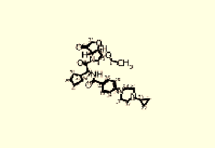 CCO[C@H]1CN(C(=O)[C@@H](NC(=O)c2ccc(N3CCN(C4CC4)CC3)cc2)C2CCCC2)[C@@H]2C(=O)CO[C@H]12